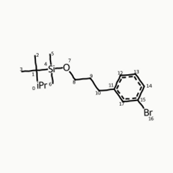 CC(C)C(C)(C)[Si](C)(C)OCCCc1cccc(Br)c1